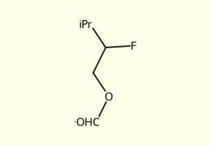 CC(C)C(F)CO[C]=O